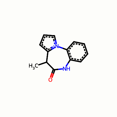 CC1C(=O)Nc2ccccc2-n2cccc21